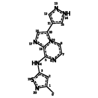 Cc1cc(Nc2nccn3c(-c4cn[nH]c4)cnc23)sn1